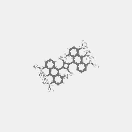 CN(C)c1cccc2c(C3C(O)C(c4c5cccc(N(C)C)c5c(N(C)C)c5c(N(C)C)ccc(O)c45)C3O)c3c(O)ccc(N(C)C)c3c(N(C)C)c12